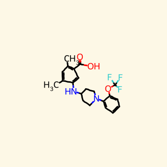 Cc1cc(C)c(C(=O)O)cc1NC1CCN(c2ccccc2OC(F)(F)F)CC1